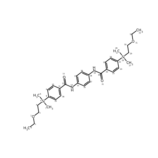 CCOCC[Si](C)(C)c1ccc(C(=O)Nc2ccc(NC(=O)c3ccc([Si](C)(C)CCOCC)cc3)cc2)cc1